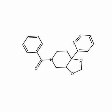 O=C(c1ccccc1)N1CCC2(c3ccccn3)OCOC2C1